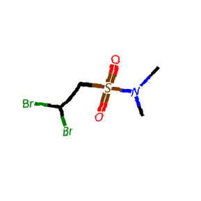 CN(C)S(=O)(=O)CC(Br)Br